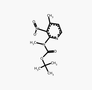 Cc1ccnc(N(C)C(=O)OC(C)(C)C)c1[N+](=O)[O-]